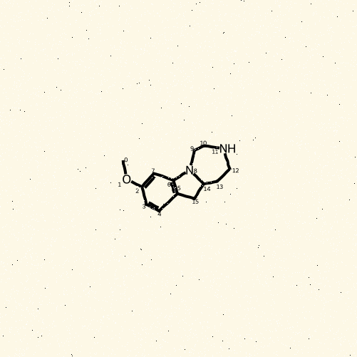 COc1ccc2c(c1)N1CCNCCC1C2